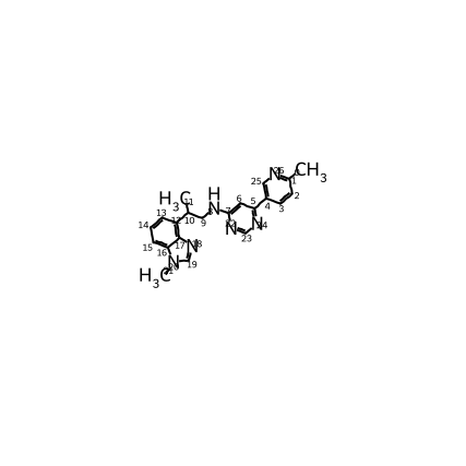 Cc1ccc(-c2cc(NCC(C)c3cccc4c3ncn4C)ncn2)cn1